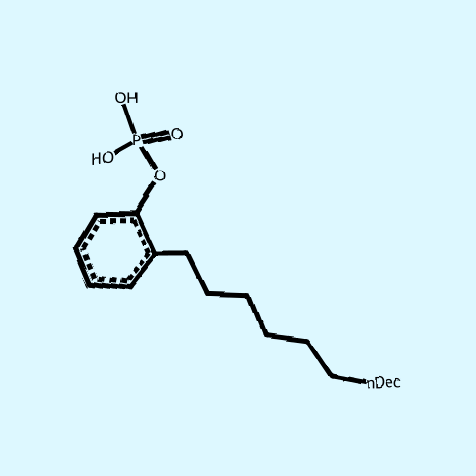 CCCCCCCCCCCCCCCCc1ccccc1OP(=O)(O)O